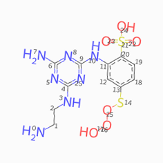 NCCNc1nc(N)nc(Nc2cc(SOOO)ccc2S(=O)(=O)O)n1